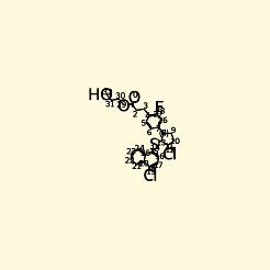 O=C(CCc1ccc([C@H]2CCC(Cl)C2Sc2ccc(Cl)c3ccccc23)cc1F)OCCO